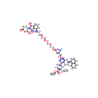 CN1C[C@H](OCCOCCOCCOCCNc2cccc3c2C(=O)N(C2CCC(=O)CC2=O)C3=O)C[C@H]1COc1nc2c(c(N3CCN(C(=O)OC(C)(C)C)[C@@H](CC#N)C3)n1)CCN(c1cccc3ccccc13)C2